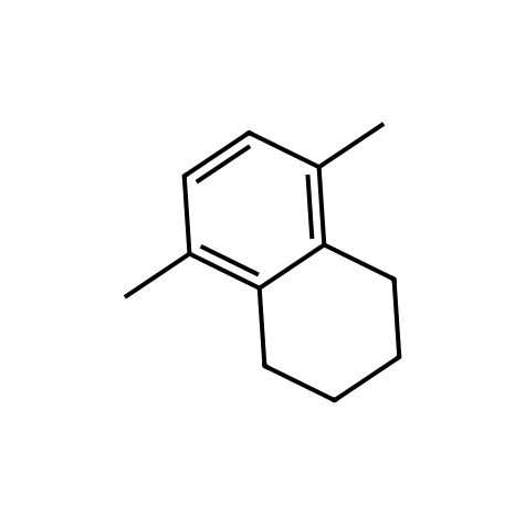 Cc1ccc(C)c2c1CCCC2